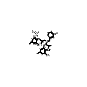 Cc1cc(C(C)C)c(NC(C)CN(Cc2ccccn2)CC(C)Nc2c(C(C)C)cc(C)cc2C(C)C)c(C(C)C)c1.[Br-].[Br-].[Co+2]